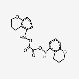 O=C(ONc1cccc2c1CCCO2)C(=O)ONc1cccc2c1CCCO2